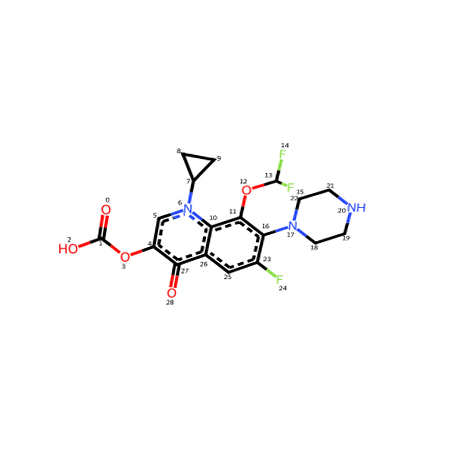 O=C(O)Oc1cn(C2CC2)c2c(OC(F)F)c(N3CCNCC3)c(F)cc2c1=O